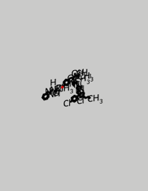 CC(C)(C)C(O)C(Oc1ccc(Cl)cc1)n1cncn1.CCCC1COC(Cn2cncn2)(c2ccc(Cl)cc2Cl)O1.COC(=O)Nc1nc2ccccc2[nH]1